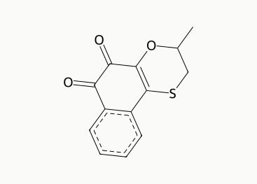 CC1CSC2=C(O1)C(=O)C(=O)c1ccccc12